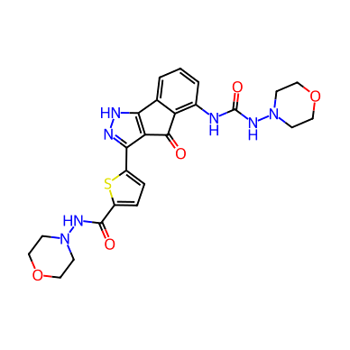 O=C(Nc1cccc2c1C(=O)c1c(-c3ccc(C(=O)NN4CCOCC4)s3)n[nH]c1-2)NN1CCOCC1